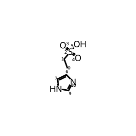 CCS(=O)(=O)O.c1c[nH]cn1